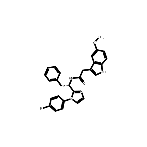 COc1ccc2[nH]cc(CC(=O)N[C@@H](Cc3ccccc3)c3nccn3-c3ccc(Br)cc3)c2c1